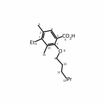 CCc1c(C)cc(C(=O)O)c(OCCCC(C)C)c1C